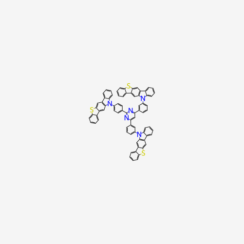 c1cc(-c2cc(-c3cccc(-n4c5ccccc5c5cc6sc7ccccc7c6cc54)c3)nc(-c3ccc(-n4c5ccccc5c5cc6sc7ccccc7c6cc54)cc3)n2)cc(-n2c3ccccc3c3cc4sc5ccccc5c4cc32)c1